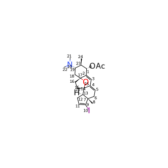 CC(=O)O[C@@H]1C2=CC3=CC[C@]4(C)C(I)=CC[C@H]4[C@@]34CC[C@]2(C[C@H](N(C)C)[C@H]1C)O4